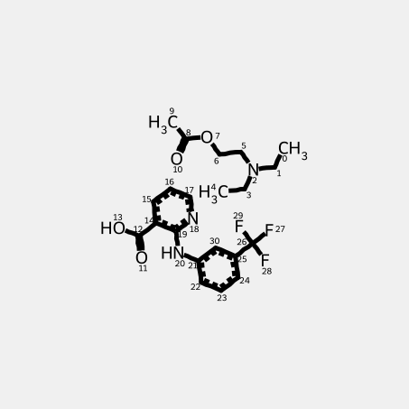 CCN(CC)CCOC(C)=O.O=C(O)c1cccnc1Nc1cccc(C(F)(F)F)c1